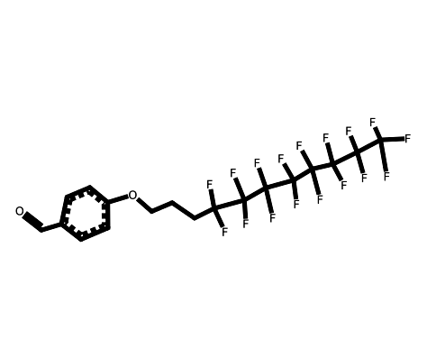 O=Cc1ccc(OCCCC(F)(F)C(F)(F)C(F)(F)C(F)(F)C(F)(F)C(F)(F)C(F)(F)C(F)(F)F)cc1